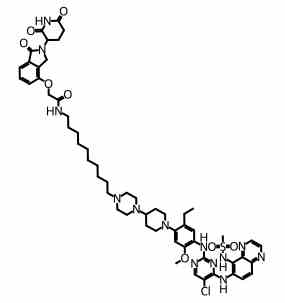 CCc1cc(Nc2ncc(Cl)c(Nc3ccc4nccnc4c3NS(C)(=O)=O)n2)c(OC)cc1N1CCC(N2CCN(CCCCCCCCCCNC(=O)COc3cccc4c3CN(C3CCC(=O)NC3=O)C4=O)CC2)CC1